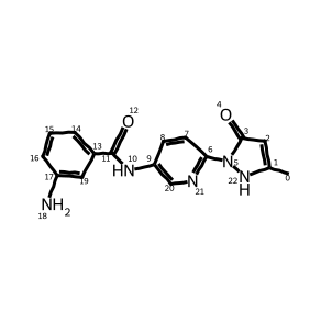 Cc1cc(=O)n(-c2ccc(NC(=O)c3cccc(N)c3)cn2)[nH]1